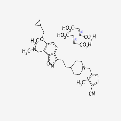 CN(C)Cc1c(OCC2CC2)ccc2c(CCC3CCN(Cc4ccc(C#N)n4C)CC3)noc12.O=C(O)/C=C/C(=O)O.O=C(O)/C=C/C(=O)O